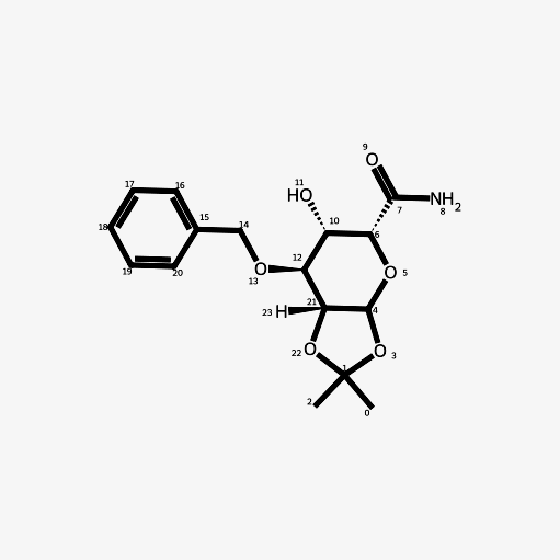 CC1(C)OC2O[C@@H](C(N)=O)[C@@H](O)[C@H](OCc3ccccc3)[C@H]2O1